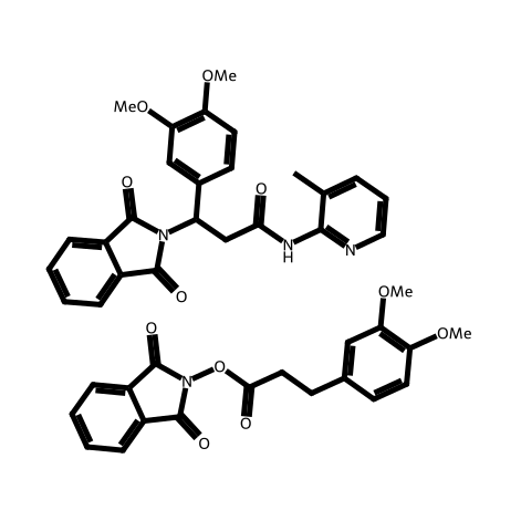 COc1ccc(C(CC(=O)Nc2ncccc2C)N2C(=O)c3ccccc3C2=O)cc1OC.COc1ccc(CCC(=O)ON2C(=O)c3ccccc3C2=O)cc1OC